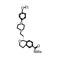 CCOc1ccc(N2CCN(CC[C@H]3OCCc4cc(C(=O)NC)ccc43)CC2)cc1